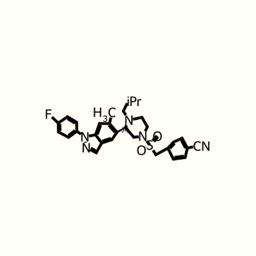 Cc1cc2c(cnn2-c2ccc(F)cc2)cc1[C@@H]1CN(S(=O)(=O)Cc2ccc(C#N)cc2)CCN1CC(C)C